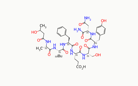 CC[C@H](C)[C@H](NC(=O)[C@H](C)NC(=O)CC(C)O)C(=O)N[C@@H](Cc1ccccc1)C(=O)N[C@@H](CCC(=O)O)C(=O)N[C@@H](CO)C(=O)N[C@@H](Cc1ccc(O)cc1)C(=O)N[C@@H](CC(N)=O)C(N)=O